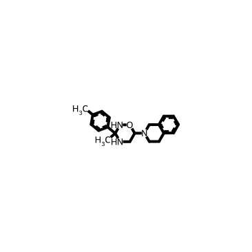 Cc1ccc(C2(C)NCC(N3CCc4ccccc4C3)ON2)cc1